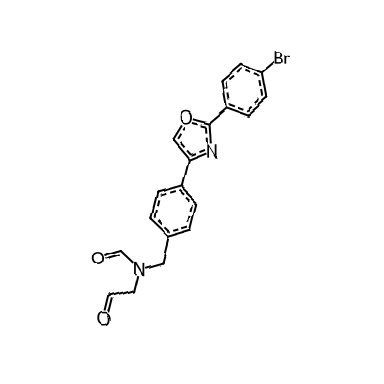 O=CCN(C=O)Cc1ccc(-c2coc(-c3ccc(Br)cc3)n2)cc1